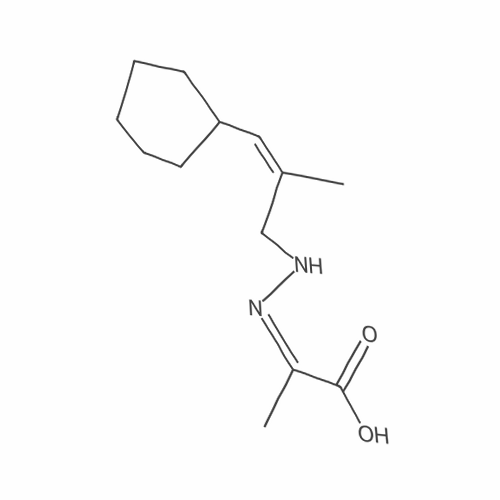 CC(=CC1CCCCC1)CNN=C(C)C(=O)O